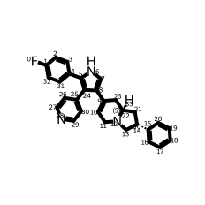 Fc1ccc(-c2[nH]cc(C3=CCN4C[C@@H](c5ccccc5)C[C@H]4C3)c2-c2ccncc2)cc1